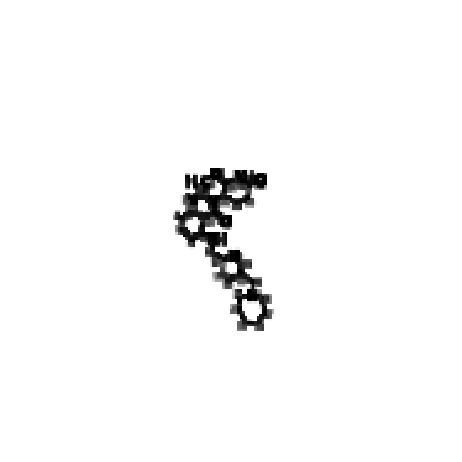 Cc1nc2cccc(NCc3ccc(CN4CCCCCC4)cn3)c2c(=O)n1C1CCC(=O)NC1=O